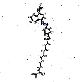 C=C(C)C(=O)OCCCCCCCCCCOc1ccc(/N=N/c2ccc(/N=N/C)c3ccccc23)cc1